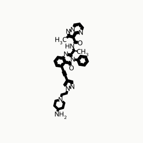 Cc1nn2cccnc2c1C(=O)N[C@@H](C)c1nc2cccc(C#Cc3cnn(CCN4CCC(N)CC4)c3)c2c(=O)n1-c1ccccc1